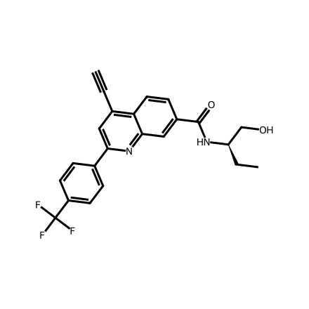 C#Cc1cc(-c2ccc(C(F)(F)F)cc2)nc2cc(C(=O)N[C@H](CC)CO)ccc12